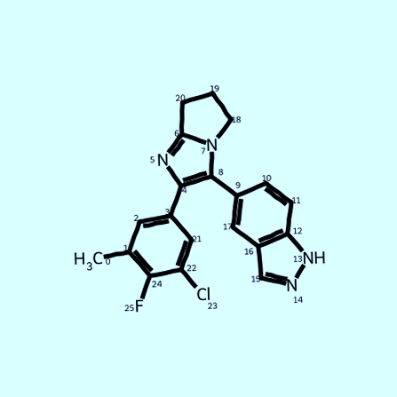 Cc1cc(-c2nc3n(c2-c2ccc4[nH]ncc4c2)CCC3)cc(Cl)c1F